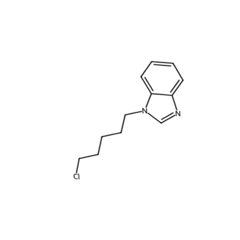 ClCCCCCn1cnc2ccccc21